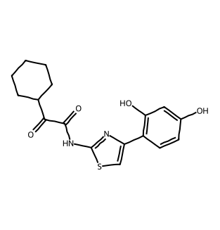 O=C(Nc1nc(-c2ccc(O)cc2O)cs1)C(=O)C1CCCCC1